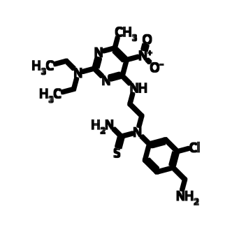 CCN(CC)c1nc(C)c([N+](=O)[O-])c(NCCN(C(N)=S)c2ccc(CN)c(Cl)c2)n1